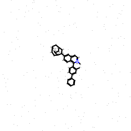 Cc1cc(-c2ccccc2)ccc1-c1c2ccc(C3CC4CC5CCC3C(C5)C4)cc2cc[n+]1C